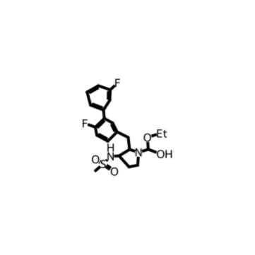 CCOC(O)N1CCC(NS(C)(=O)=O)C1Cc1ccc(F)c(-c2cccc(F)c2)c1